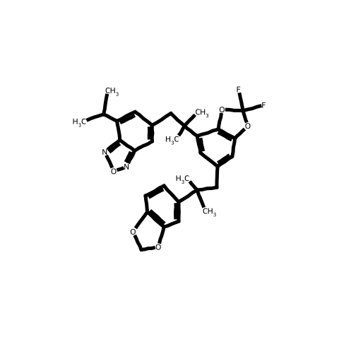 CC(C)c1cc(CC(C)(C)c2cc(CC(C)(C)c3ccc4c(c3)OCO4)cc3c2OC(F)(F)O3)cc2nonc12